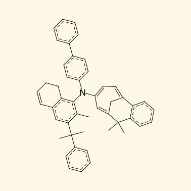 Cc1c(C(C)(C)c2ccccc2)cc2c(c1N(C1=CC=C3CC(=C1)C(C)(C)c1ccccc13)c1ccc(-c3ccccc3)cc1)CCC=C2